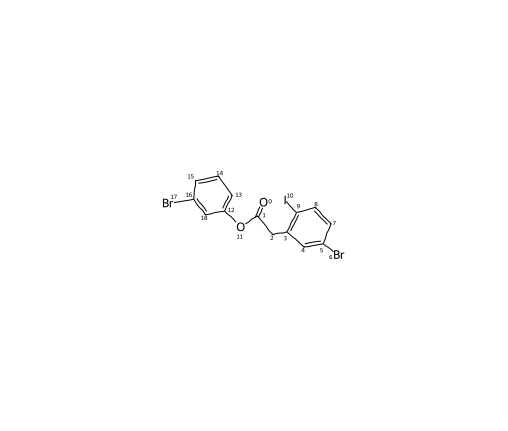 O=C(Cc1cc(Br)ccc1I)Oc1cccc(Br)c1